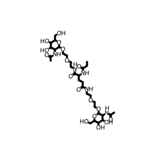 CCC(=O)NC(CCC(=O)NCCOCCOC1OC(CO)C(O)C(O)C1NC(C)=O)C(=O)NCCOCCOC1OC(CO)C(O)C(O)C1NC(C)=O